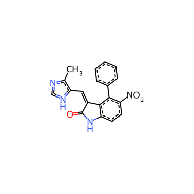 Cc1nc[nH]c1/C=C1\C(=O)Nc2ccc([N+](=O)[O-])c(-c3ccccc3)c21